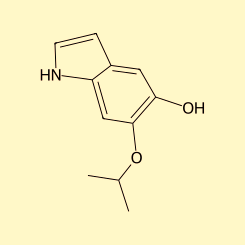 CC(C)Oc1cc2[nH]ccc2cc1O